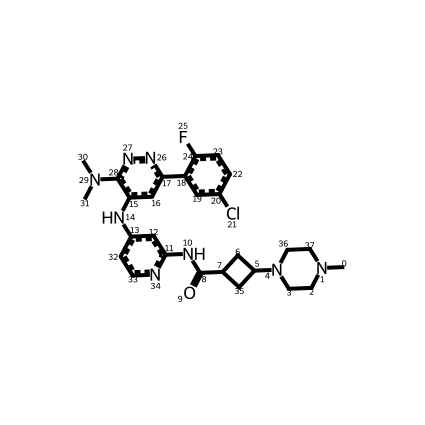 CN1CCN(C2CC(C(=O)Nc3cc(Nc4cc(-c5cc(Cl)ccc5F)nnc4N(C)C)ccn3)C2)CC1